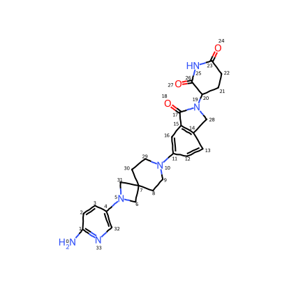 Nc1ccc(N2CC3(CCN(c4ccc5c(c4)C(=O)N(C4CCC(=O)NC4=O)C5)CC3)C2)cn1